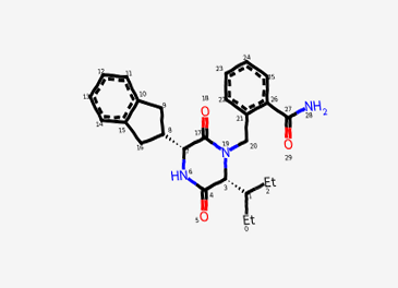 CCC(CC)[C@@H]1C(=O)N[C@H](C2Cc3ccccc3C2)C(=O)N1Cc1ccccc1C(N)=O